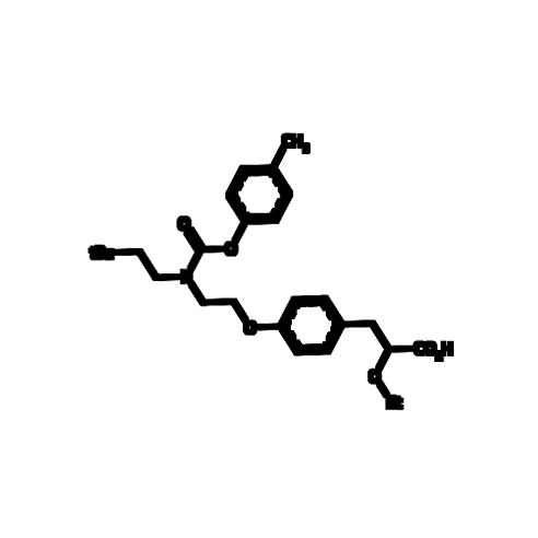 CCOC(Cc1ccc(OCCN(CCC(C)(C)C)C(=O)Oc2ccc(C)cc2)cc1)C(=O)O